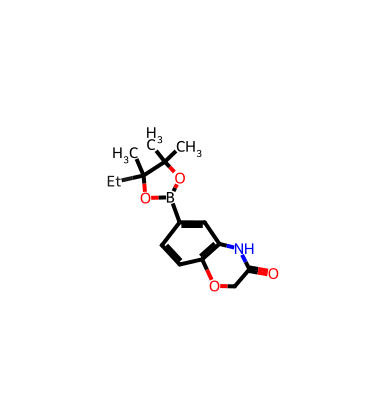 CCC1(C)OB(c2ccc3c(c2)NC(=O)CO3)OC1(C)C